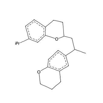 CC(C)c1ccc2c(c1)OC(CC(C)c1ccc3c(c1)CCCO3)CC2